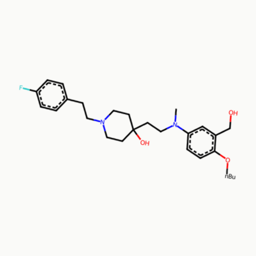 CCCCOc1ccc(N(C)CCC2(O)CCN(CCc3ccc(F)cc3)CC2)cc1CO